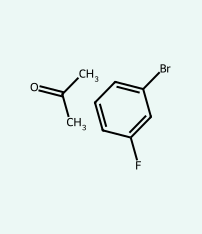 CC(C)=O.Fc1cccc(Br)c1